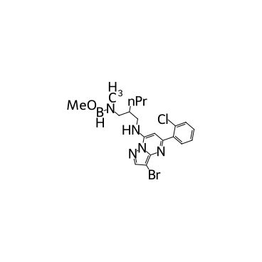 CCCC(CNc1cc(-c2ccccc2Cl)nc2c(Br)cnn12)CN(C)BOC